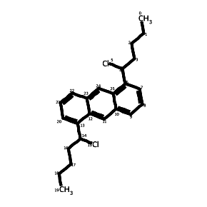 CCCCC(Cl)c1cccc2cc3c(C(Cl)CCCC)cccc3cc12